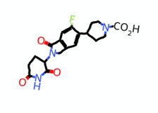 O=C1CCC(N2Cc3cc(C4CCN(C(=O)O)CC4)c(F)cc3C2=O)C(=O)N1